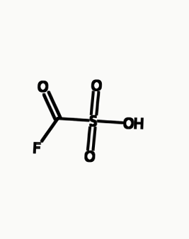 O=C(F)S(=O)(=O)O